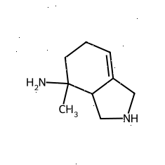 CC1(N)CCC=C2CNCC21